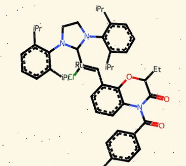 CCC1Oc2c([CH]=[Ru]([Cl])[CH]3N(c4c(C(C)C)cccc4C(C)C)CCN3c3c(C(C)C)cccc3C(C)C)cccc2N(C(=O)c2ccc(OC)cc2)C1=O